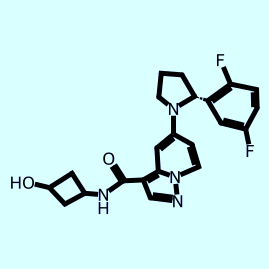 O=C(NC1CC(O)C1)c1cnn2ccc(N3CCC[C@@H]3c3cc(F)ccc3F)cc12